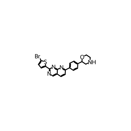 Brc1ccc(-c2ncc3ccc(-c4ccc(C5CNCCO5)cc4)nc3n2)s1